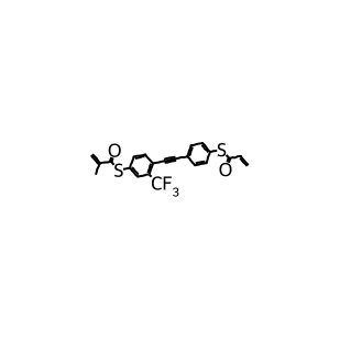 C=CC(=O)Sc1ccc(C#Cc2ccc(SC(=O)C(=C)C)cc2C(F)(F)F)cc1